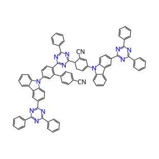 N#CC1=CC(n2c3ccccc3c3cc(-c4nc(-c5ccccc5)nc(-c5ccccc5)n4)ccc32)=CCC1c1nc(-c2ccccc2)nc(-c2ccc(-n3c4ccccc4c4cc(-c5nc(-c6ccccc6)nc(-c6ccccc6)n5)ccc43)cc2-c2ccc(C#N)cc2)n1